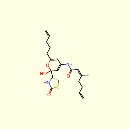 C=CCCCC1=CC(NC(=O)/C=C(/C)CCC=C)=C[C@](O)([C@@H]2CSC(=O)N2)O1